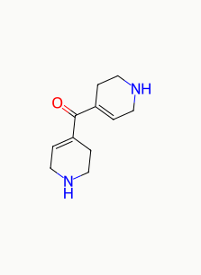 O=C(C1=CCNCC1)C1=CCNCC1